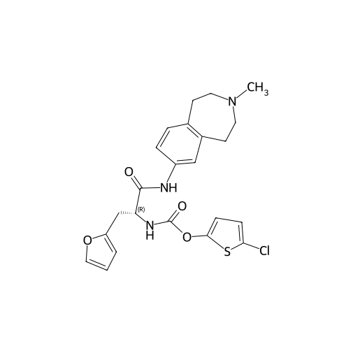 CN1CCc2ccc(NC(=O)[C@@H](Cc3ccco3)NC(=O)Oc3ccc(Cl)s3)cc2CC1